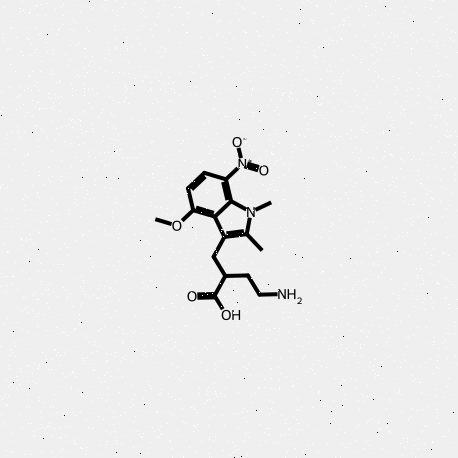 COc1ccc([N+](=O)[O-])c2c1c(CC(CCN)C(=O)O)c(C)n2C